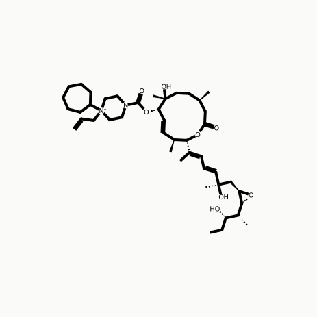 C=CC[N+]1(C2CCCCCC2)CCN(C(=O)O[C@H]2/C=C/[C@H](C)[C@@H](/C(C)=C/C=C/[C@](C)(O)C[C@H]3O[C@@H]3[C@H](C)[C@@H](O)CC)OC(=O)C[C@H](C)CC[C@@]2(C)O)CC1